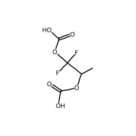 CC(OC(=O)O)C(F)(F)OC(=O)O